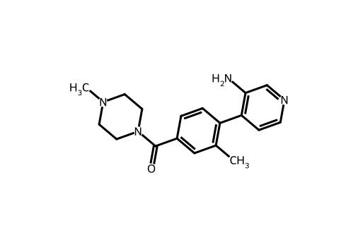 Cc1cc(C(=O)N2CCN(C)CC2)ccc1-c1ccncc1N